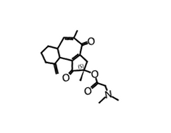 C=C1CCCC2C=C(C)C(=O)C3=C(C(=O)[C@@](C)(OC(=O)CN(C)C)C3)C12